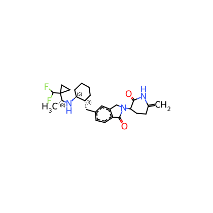 C=C1CCC(N2Cc3cc(C[C@H]4CCCC[C@@H]4N[C@H](C)C4(C(F)F)CC4)ccc3C2=O)C(=O)N1